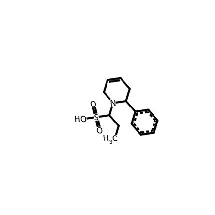 CCC(N1CC=CCC1c1ccccc1)S(=O)(=O)O